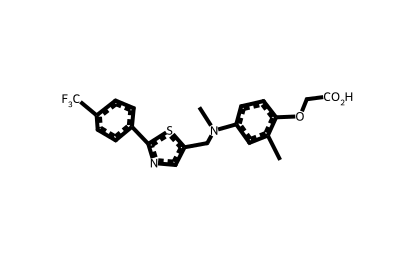 Cc1cc(N(C)Cc2cnc(-c3ccc(C(F)(F)F)cc3)s2)ccc1OCC(=O)O